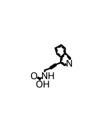 O=C(O)NCC#Cc1cncc2ccccc12